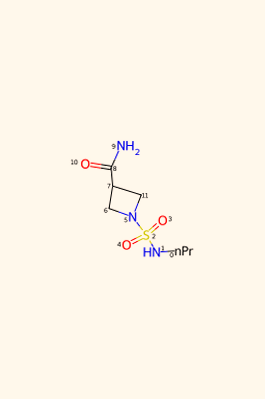 CCCNS(=O)(=O)N1CC(C(N)=O)C1